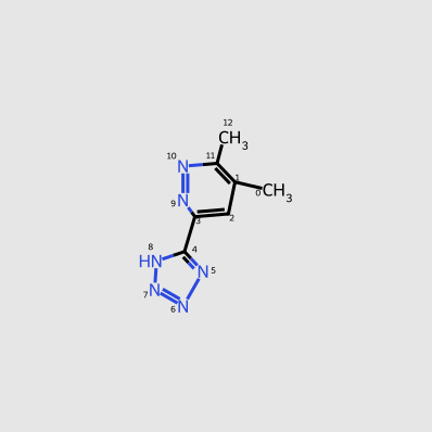 Cc1cc(-c2nnn[nH]2)nnc1C